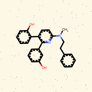 CN(CCc1ccccc1)c1ccc(-c2ccccc2O)c(-c2cccc(O)c2)n1